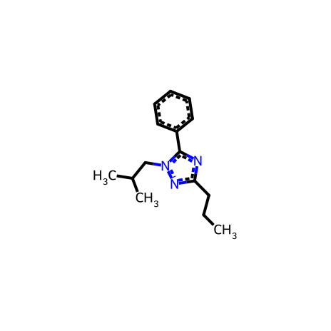 CCCc1nc(-c2ccccc2)n(CC(C)C)n1